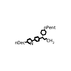 C=CCC(c1ccc(-c2ccc(CCCCCCCCCC)cn2)cc1)[C@H]1CC[C@H](CCCCC)CC1